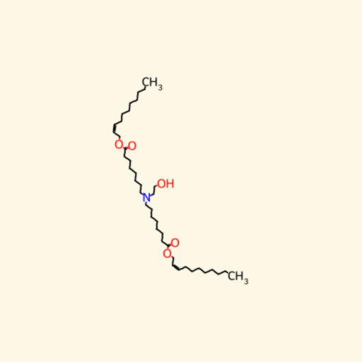 CCCCCCCC/C=C\COC(=O)CCCCCCCN(CCO)CCCCCCCC(=O)OC/C=C\CCCCCCCC